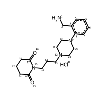 Cl.NCc1ccccc1N1CCN(CCCN2C(=O)CCCC2=O)CC1